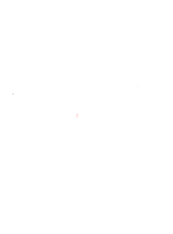 Cc1ccccc1OCC1OC1C